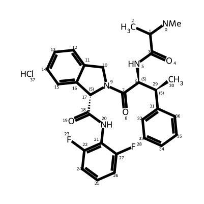 CNC(C)C(=O)N[C@H](C(=O)N1Cc2ccccc2[C@H]1C(=O)Nc1c(F)cccc1F)[C@@H](C)c1ccccc1.Cl